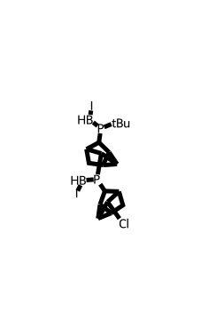 CC(C)(C)P(BI)C1C2CC3C(C31)C2P(BI)C1C2CC3C(C2Cl)C31